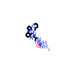 NC(=O)Nc1ncc(-c2nc(NCc3ccccn3)c3c(-c4ccccc4)cccc3n2)cn1